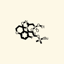 CCOP(=O)(CC1=NOC2(CCOc3ccc(F)cc32)N1CCCO[Si](C)(C)C(C)(C)C)OCC